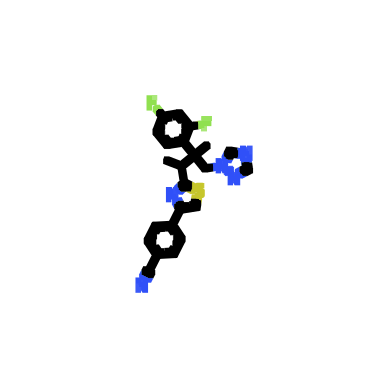 CC(c1nc(-c2ccc(C#N)cc2)cs1)C(C)(Cn1cncn1)c1ccc(F)cc1F